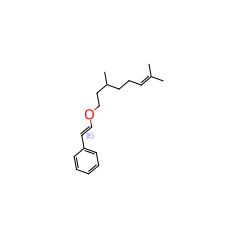 CC(C)=CCCC(C)CCO/C=C/c1ccccc1